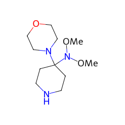 CON(OC)C1(N2CCOCC2)CCNCC1